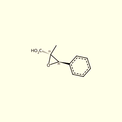 C[C@]1(C(=O)O)O[C@@H]1c1ccccc1